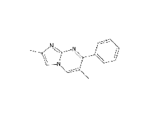 Cc1cn2cc(C)c(-c3ccccc3)nc2n1